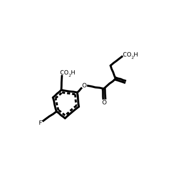 C=C(CC(=O)O)C(=O)Oc1ccc(F)cc1C(=O)O